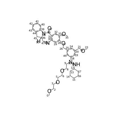 COCCOCCOCCN(NC1CCCCC1)c1cc(COC)cc(COc2cc3c(cc2OC)C(=O)N2c4ccccc4C[C@H]2C=N3)c1